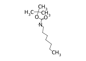 CCCCCCC[N]C(=O)OC(C)(C)C